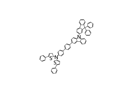 C1=C(c2ccccc2)SC(N(c2ccc(-c3ccc(-c4ccc5c(c4)c4ccccc4n5-c4ccc5c(c4)C(c4ccccc4)(c4ccccc4)c4ccccc4-5)cc3)cc2)c2ccc(-c3ccccc3)s2)C1